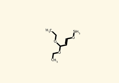 CCOC(C=CO[SiH3])OCC